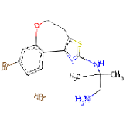 Br.CC(C)(CN)Nc1nc2c(s1)CCOc1cc(Br)ccc1-2